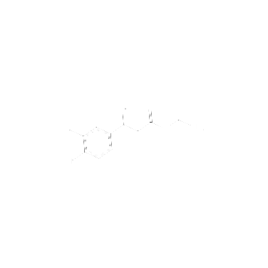 CCOC(=O)CC(O)c1ccc(Cl)c(Cl)c1